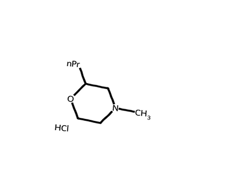 CCCC1CN(C)CCO1.Cl